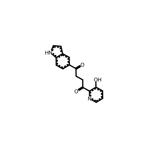 O=C(CCC(=O)c1ncccc1O)c1ccc2[nH]ccc2c1